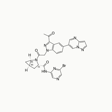 CC(=O)c1nn(CC(=O)N2[C@@H]3C[C@@H]3C[C@H]2C(=O)Nc2cncc(Br)n2)c2ccc(-c3cnc4ccnn4c3)cc12